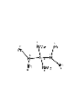 CN[Si](NC)(N(C(C)C)C(C)C)N(C(C)C)C(C)C